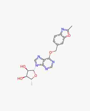 Cc1nc2ccc(COc3ncnc4c3ncn4[C@@H]3O[C@H](C)[C@@H](O)[C@H]3O)cc2o1